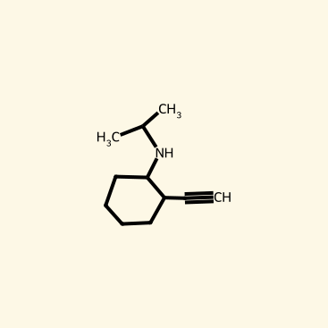 C#CC1CCCCC1NC(C)C